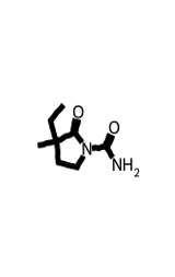 CCC1(C)CCN(C(N)=O)C1=O